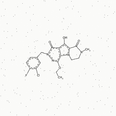 CCOc1nn(Cc2ccc(F)c(Cl)c2)c(=O)c2c(O)c3n(c12)CCN(C)C3=O